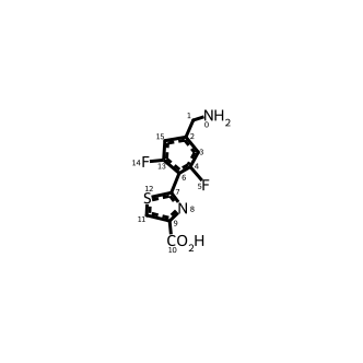 NCc1cc(F)c(-c2nc(C(=O)O)cs2)c(F)c1